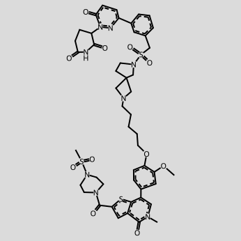 COc1cc(-c2cn(C)c(=O)c3cc(C(=O)N4CCN(S(C)(=O)=O)CC4)sc23)ccc1OCCCCCN1CC2(CCN(S(=O)(=O)Cc3cccc(-c4ccc(=O)n(C5CCC(=O)NC5=O)n4)c3)C2)C1